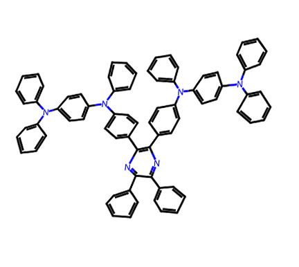 c1ccc(-c2nc(-c3ccc(N(c4ccccc4)c4ccc(N(c5ccccc5)c5ccccc5)cc4)cc3)c(-c3ccc(N(c4ccccc4)c4ccc(N(c5ccccc5)c5ccccc5)cc4)cc3)nc2-c2ccccc2)cc1